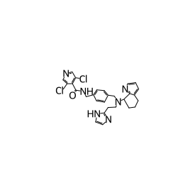 O=C(NCc1ccc(CN(CCc2ncc[nH]2)C2CCCc3cccnc32)cc1)c1c(Cl)cncc1Cl